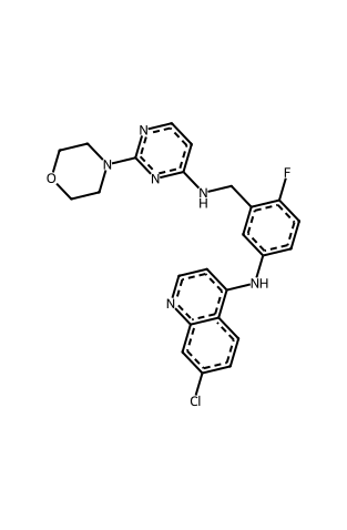 Fc1ccc(Nc2ccnc3cc(Cl)ccc23)cc1CNc1ccnc(N2CCOCC2)n1